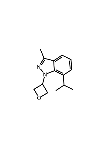 Cc1nn(C2COC2)c2c(C(C)C)cccc12